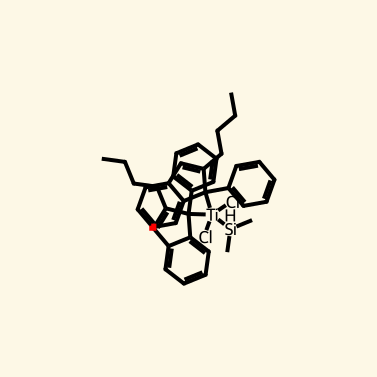 CCCCC1=Cc2ccccc2[C]1(c1ccccc1)[Ti]([Cl])([Cl])([SiH](C)C)[C]1(c2ccccc2)C(CCCC)=Cc2ccccc21